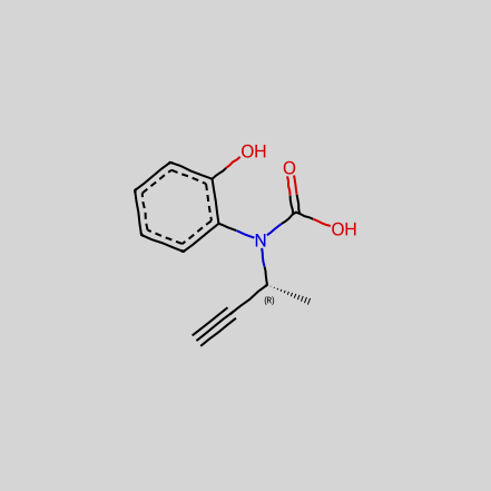 C#C[C@@H](C)N(C(=O)O)c1ccccc1O